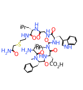 CCCN(C(=O)N[C@@H](Cc1c[nH]c2ccccc12)C(=O)NCC(=O)N[C@@H](CC(C)C)C(=O)NCCSCC(N)=O)C(=O)[C@H](CC(=O)O)NC(=O)[C@H](Cc1ccccc1)N(C)C(=O)[C@@H](N)C(C)C